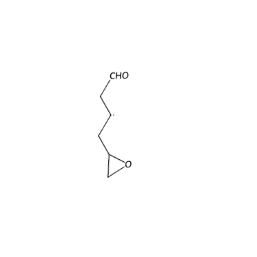 O=CC[CH]CC1CO1